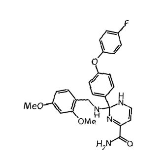 COc1ccc(CNC2(c3ccc(Oc4ccc(F)cc4)cc3)N=C(C(N)=O)C=CN2)c(OC)c1